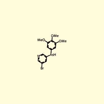 COc1cc([AsH]c2cncc(Br)c2)cc(OC)c1OC